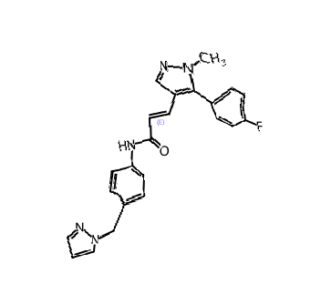 Cn1ncc(/C=C/C(=O)Nc2ccc(Cn3cccn3)cc2)c1-c1ccc(F)cc1